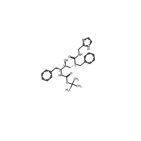 CC(C)(C)OC(=O)N[C@@H](Cc1ccccc1)[C@@H](O)C[C@@H](Cc1ccccc1)C(=O)NCc1ncc[nH]1